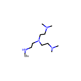 CN(C)CCN(CCNC(C)(C)C)CCN(C)C